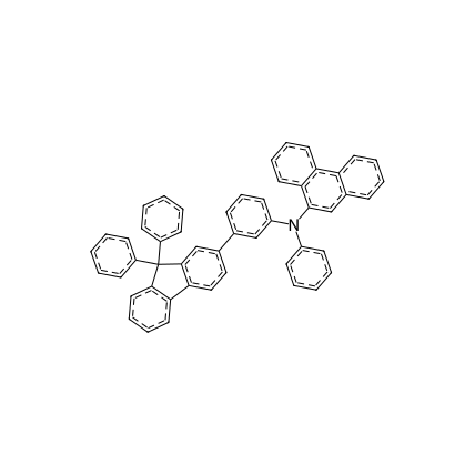 c1ccc(N(c2cccc(-c3ccc4c(c3)C(c3ccccc3)(c3ccccc3)c3ccccc3-4)c2)c2cc3ccccc3c3ccccc23)cc1